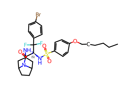 CCCCCCOc1ccc(S(=O)(=O)N[C@@H](C(=O)N2C3CCC2CC(N)C3)C(F)(F)c2ccc(Br)cc2)cc1